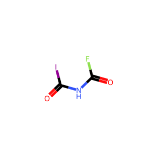 O=C(F)NC(=O)I